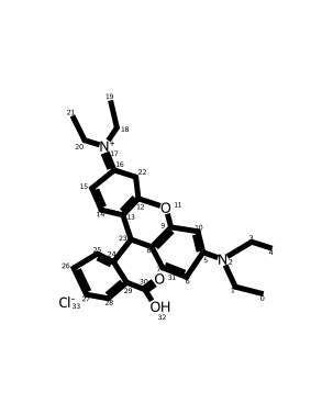 CCN(CC)c1ccc2c(c1)OC1=C(C=CC(=[N+](CC)CC)C1)C2c1ccccc1C(=O)O.[Cl-]